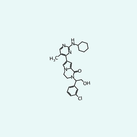 Cc1cnc(NC2CCCCC2)nc1-c1cc2n(c1)CCN(C(CO)c1cccc(Cl)c1)C2=O